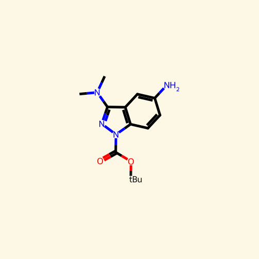 CN(C)c1nn(C(=O)OC(C)(C)C)c2ccc(N)cc12